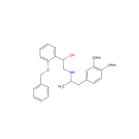 COc1ccc(CC(C)NCC(O)c2ccccc2OCc2ccccc2)cc1OC